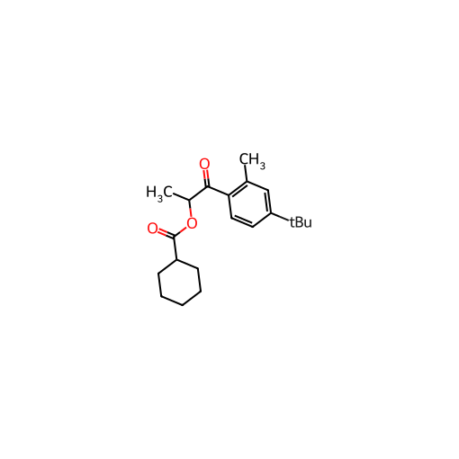 Cc1cc(C(C)(C)C)ccc1C(=O)C(C)OC(=O)C1CCCCC1